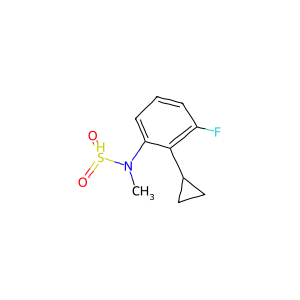 CN(c1cccc(F)c1C1CC1)[SH](=O)=O